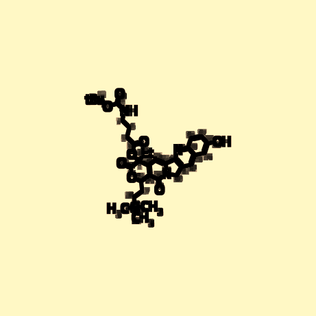 CCC1(OC(=O)CCCNC(=O)OC(C)(C)C)C(=O)OC(CC[Si](C)(C)C)c2c1cc1n(c2=O)Cc2cc3cc(O)ccc3nc2-1